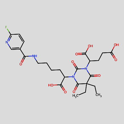 CCC1(CC)C(=O)N(C(CCCCNC(=O)c2ccc(F)nc2)C(=O)O)C(=O)N(C(CCC(=O)O)C(=O)O)C1=O